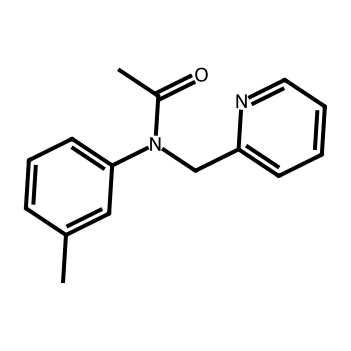 CC(=O)N(Cc1ccccn1)c1cccc(C)c1